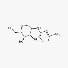 OC[C@H]1OC[C@@H](NC2=NCCC(C(F)(F)F)=N2)[C@@H](O)[C@H]1O